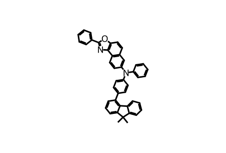 CC1(C)c2ccccc2-c2c(-c3ccc(N(c4ccccc4)c4ccc5c(ccc6oc(-c7ccccc7)nc65)c4)cc3)cccc21